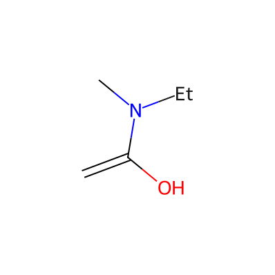 C=C(O)N(C)CC